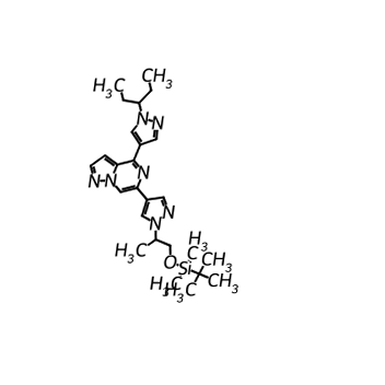 CCC(CC)n1cc(-c2nc(-c3cnn(C(C)CO[Si](C)(C)C(C)(C)C)c3)cn3nccc23)cn1